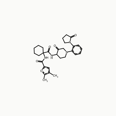 Cc1cc(C(=O)NC2(C(=O)NC3CCN(c4ccccc4N4CCCC4=O)CC3=O)CCCCC2)oc1C